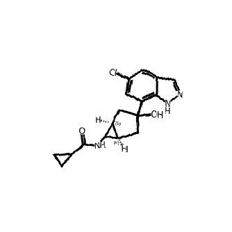 O=C(NC1[C@H]2CC(O)(c3cc(Cl)cc4cn[nH]c34)C[C@@H]12)C1CC1